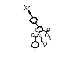 CCOC(=O)c1cc(-c2ccc(C#C[Si](C)(C)C)cc2)oc1N(CCOC)C(=O)[C@H]1CC[C@H](C)CC1